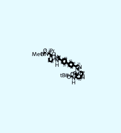 COC(=O)N[C@H](C(=O)N1CCC[C@H]1c1ncc(-c2ccc(-c3ccc(-c4cnc([C@@H]5CC[C@@H]6CC[C@H](NC(=O)OC(C)(C)C)C(=O)N65)[nH]4)cc3)cc2)[nH]1)C(C)C